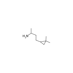 CC(N)CCC1CC1(C)C